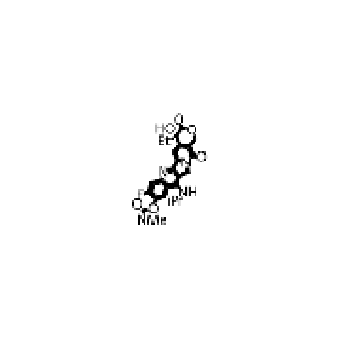 CC[C@@]1(O)C(=O)OCc2c1cc1n(c2=O)Cc2c-1nc1cc(F)c(OC(=O)NC)cc1c2NC(C)C